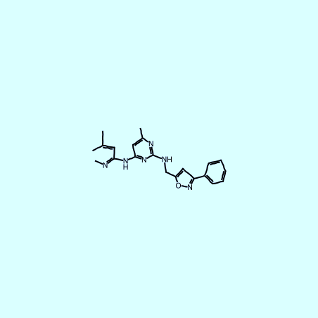 C/N=C(\C=C(C)C)Nc1cc(C)nc(NCc2cc(-c3ccccc3)no2)n1